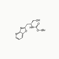 CC(C)(C)OC(=O)N[C@H](CO)Cc1nc2ncccc2o1